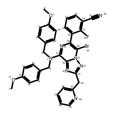 COc1ccc(CN(Cc2ccc(OC)cc2)c2nc(-c3cccc(C#N)c3F)c(Br)n3nc(Cc4ccccn4)nc23)cc1